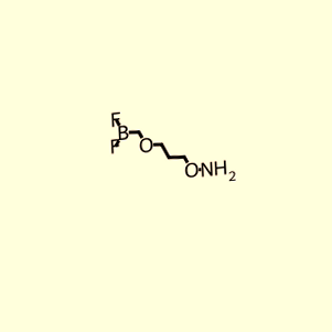 NOCCCOCB(F)F